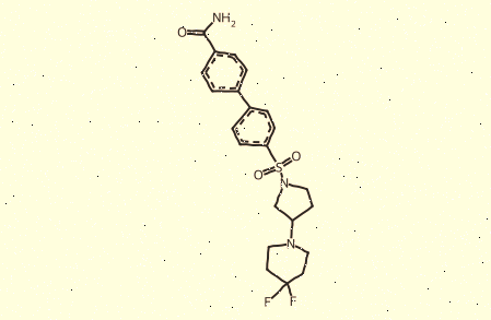 NC(=O)c1ccc(-c2ccc(S(=O)(=O)N3CCC(N4CCC(F)(F)CC4)C3)cc2)cc1